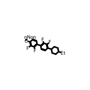 CCCCCCCCCOc1ccc(-c2ccc(C3CCC(CC)CC3)c(F)c2F)c(F)c1F